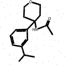 CC(=O)NC1(c2cccc(C(C)C)c2)CCOCC1